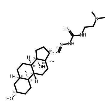 CN(C)CCNC(=N)N/N=C/[C@H]1CC[C@]2(O)[C@@H]3CC[C@@H]4C[C@@H](O)CC[C@]4(C)[C@H]3CC[C@]12C